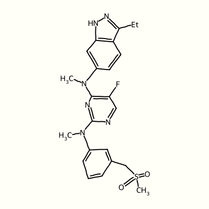 CCc1n[nH]c2cc(N(C)c3nc(N(C)c4cccc(CS(C)(=O)=O)c4)ncc3F)ccc12